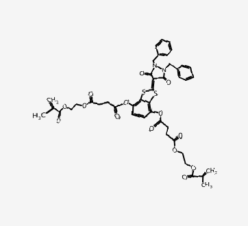 C=C(C)C(=O)OCCOC(=O)CCC(=O)Oc1ccc(OC(=O)CCC(=O)OCCOC(=O)C(=C)C)c2c1SC(=C1C(=O)N(Cc3ccccc3)N(Cc3ccccc3)C1=O)S2